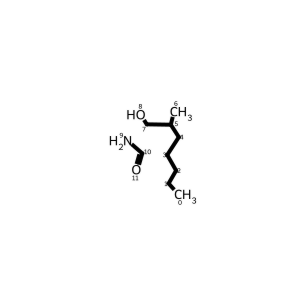 CCCCCC(C)CO.NC=O